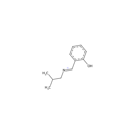 CC(C)C/N=C/c1ccccc1O